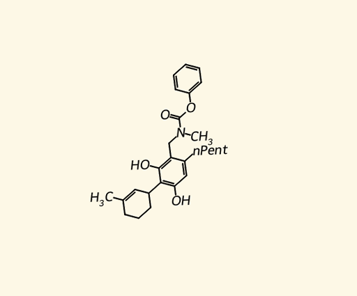 CCCCCc1cc(O)c(C2C=C(C)CCC2)c(O)c1CN(C)C(=O)Oc1ccccc1